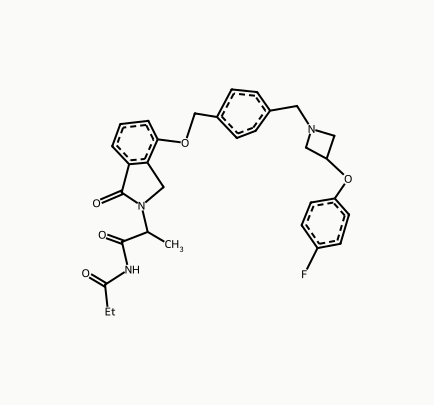 CCC(=O)NC(=O)C(C)N1Cc2c(OCc3ccc(CN4CC(Oc5ccc(F)cc5)C4)cc3)cccc2C1=O